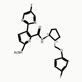 CC(=O)Nc1ccc(-c2ncc(F)cn2)c(C(=O)N[C@H]2CCC[C@@H]2COc2ccc(F)cc2)n1